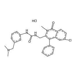 CN(C)Cc1cccc(NC(=O)NCc2c(-c3ccccc3)c3cc(Cl)ccc3c(=O)n2C)c1.Cl